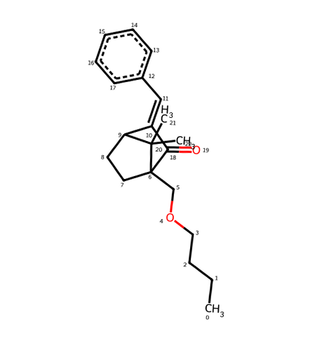 CCCCOCC12CCC(C(=Cc3ccccc3)C1=O)C2(C)C